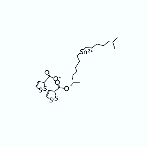 CC(C)CCCC[CH2][Sn+2][CH2]CCCCC(C)C.O=C([O-])C1C=CSS1.O=C([O-])C1C=CSS1